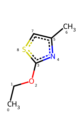 CCOc1nc(C)cs1